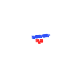 O.[N-]=[N+]=[N-]